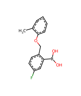 Cc1ccccc1OCc1ccc(F)cc1B(O)O